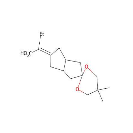 CCC(C(=O)O)=C1CC2CC3(CC2C1)OCC(C)(C)CO3